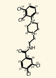 O=C(NCCN1CCN(c2cccc(Cl)c2Cl)CC1)c1ccc(Cl)c(Cl)c1